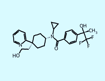 C[C@](O)(c1ccc(C(=O)N(C2CC2)[C@H]2CC[C@](CCO)(c3ccccn3)CC2)cc1)C(F)(F)F